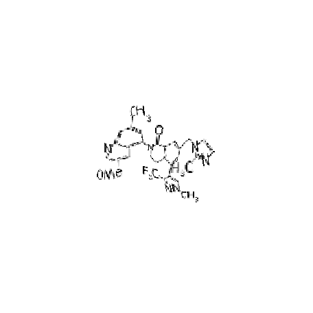 COc1cnc2cc(C)cc(N3CCc4c(cc(Cn5ccnc5C)cc4-c4cn(C)nc4C(F)(F)F)C3=O)c2c1